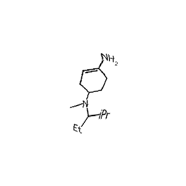 CCC(C(C)C)N(C)C1CC=C(N)CC1